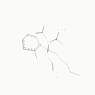 CCCCCC(OCOC)(c1ccccc1I)N(C(=O)O)C(C)C